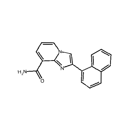 NC(=O)c1cccn2cc(-c3cccc4ccccc34)nc12